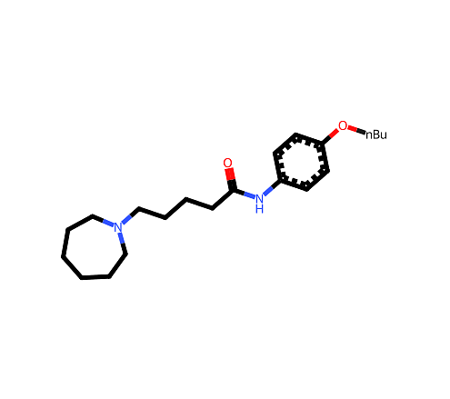 CCCCOc1ccc(NC(=O)CCCCN2CCCCCC2)cc1